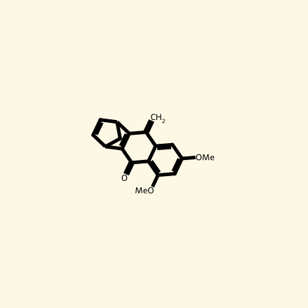 C=C1C2=C(C(=O)c3c(OC)cc(OC)cc31)C1C=CC2C1